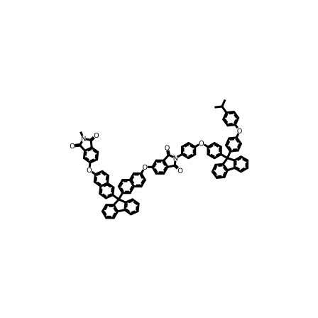 CC(C)c1ccc(Oc2ccc(C3(c4ccc(Oc5ccc(N6C(=O)c7ccc(Oc8ccc9cc(C%10(c%11ccc%12cc(Oc%13ccc%14c(c%13)C(=O)N(C)C%14=O)ccc%12c%11)c%11ccccc%11-c%11ccccc%11%10)ccc9c8)cc7C6=O)cc5)cc4)c4ccccc4-c4ccccc43)cc2)cc1